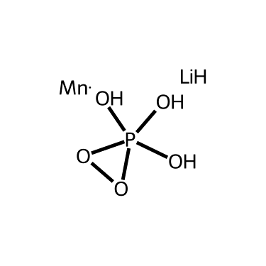 OP1(O)(O)OO1.[LiH].[Mn]